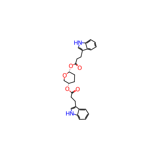 O=C(CCc1c[nH]c2ccccc12)O[C@H]1CC[C@@H](OC(=O)CCc2c[nH]c3ccccc23)OC1